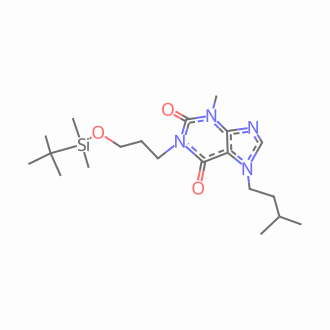 CC(C)CCn1cnc2c1c(=O)n(CCCO[Si](C)(C)C(C)(C)C)c(=O)n2C